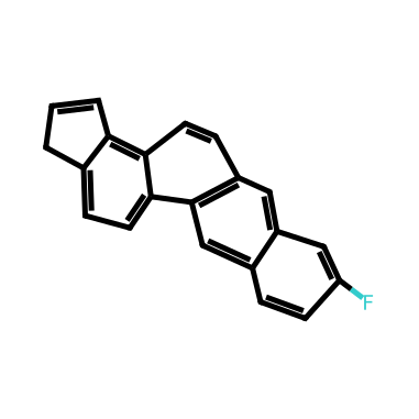 Fc1ccc2cc3c(ccc4c5c(ccc43)CC=C5)cc2c1